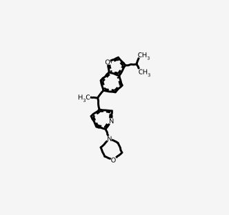 CC(C)c1coc2cc(C(C)c3ccc(N4CCOCC4)nc3)ccc12